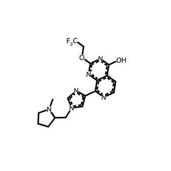 CN1CCCC1Cn1cnc(-c2nccc3c(O)nc(OCC(F)(F)F)nc23)c1